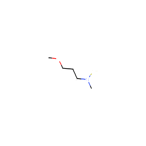 COCCCN(C)S